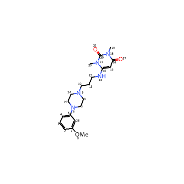 COc1cccc(N2CCN(CCCNc3cc(=O)n(C)c(=O)n3C)CC2)c1